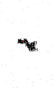 Cc1cc2nc(N3CCN(C)[C@@H](c4ccc5c(cnn5C)c4)C3)sc2c(C2=CCC(Cl)C=C2)c1[C@H](OC(C)(C)C)C(=O)O